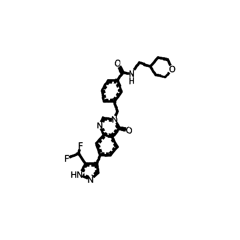 O=C(NCC1CCOCC1)c1cccc(Cn2cnc3cc(-c4cn[nH]c4C(F)F)ccc3c2=O)c1